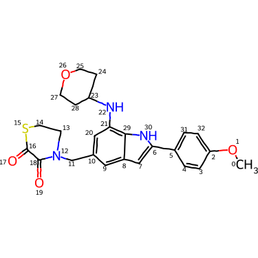 COc1ccc(-c2cc3cc(CN4CCSC(=O)C4=O)cc(NC4CCOCC4)c3[nH]2)cc1